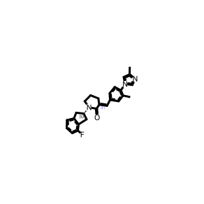 Cc1cn(-c2ccc(/C=C3\CCCN([C@H]4Cc5cccc(F)c5C4)C3=O)cc2C)cn1